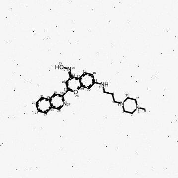 CN1CCN(CCCNc2ccc3c(=NO)cc(-c4cc5ccccc5cn4)oc3c2)CC1